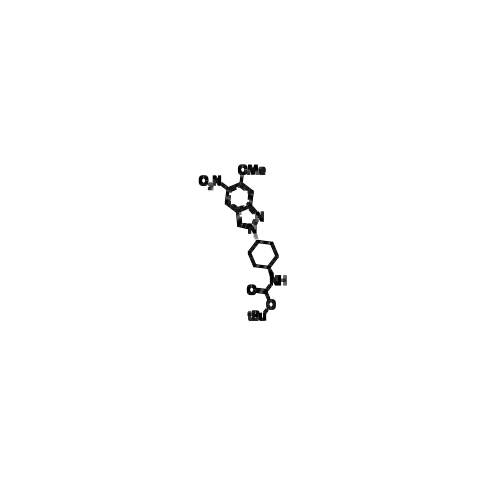 COc1cc2nn([C@H]3CC[C@H](NC(=O)OC(C)(C)C)CC3)cc2cc1[N+](=O)[O-]